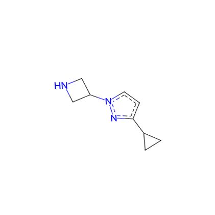 c1cn(C2CNC2)nc1C1CC1